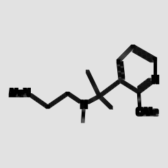 CNCCN(C)C(C)(C)c1cccnc1OC